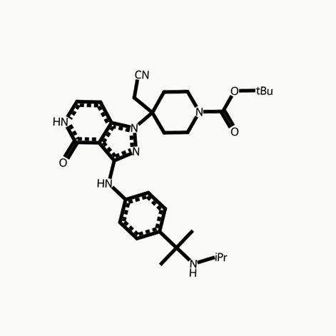 CC(C)NC(C)(C)c1ccc(Nc2nn(C3(CC#N)CCN(C(=O)OC(C)(C)C)CC3)c3cc[nH]c(=O)c23)cc1